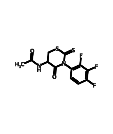 CC(=O)NC1CSC(=S)N(c2ccc(F)c(F)c2F)C1=O